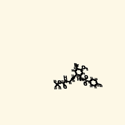 COc1cc(NS(=O)(=O)c2ccc(C)cc2)c(C#CCNC(=O)OC(C)(C)C)cc1Br